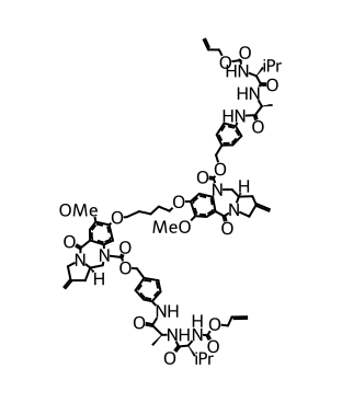 C=CCOC(=O)N[C@H](C(=O)N[C@@H](C)C(=O)Nc1ccc(COC(=O)N2C[C@@H]3CC(=C)CN3C(=O)c3cc(OC)c(OCCCCCOc4cc5c(cc4OC)C(=O)N4CC(=C)C[C@H]4CN5C(=O)OCc4ccc(NC(=O)[C@H](C)NC(=O)[C@@H](NC(=O)OCC=C)C(C)C)cc4)cc32)cc1)C(C)C